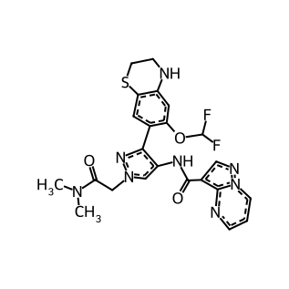 CN(C)C(=O)Cn1cc(NC(=O)c2cnn3cccnc23)c(-c2cc3c(cc2OC(F)F)NCCS3)n1